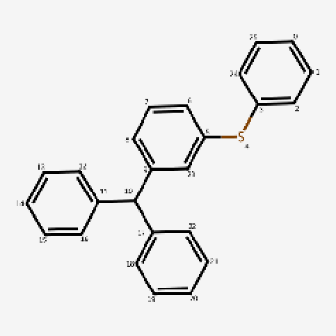 c1ccc(Sc2cccc(C(c3ccccc3)c3ccccc3)c2)cc1